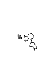 CC[C@H](C)Nc1ncc2c(n1)CCCC=C2c1cnc2nccn2c1